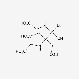 CCC(O)(NCC(=O)O)C(CC(=O)O)(CC(=O)O)NCC(=O)O